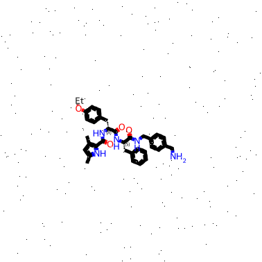 CCOc1ccc(C[C@@H](NC(=O)c2[nH]c(C)cc2C)C(=O)N[C@@H](Cc2ccccc2)C(=O)NCc2ccc(CN)cc2)cc1